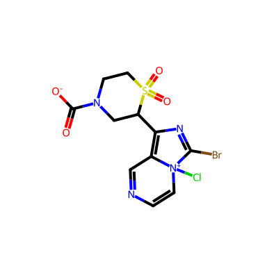 O=C([O-])N1CCS(=O)(=O)C(C2=C3C=NC=C[N+]3(Cl)C(Br)=N2)C1